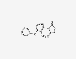 O=C1C=CC(=O)N1c1cccc(Oc2cc[c]cc2)c1C(F)(F)F